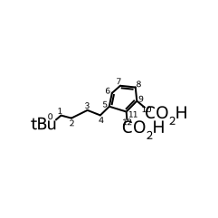 CC(C)(C)CCCCc1cccc(C(=O)O)c1C(=O)O